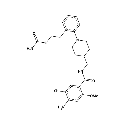 COc1cc(N)c(Cl)cc1C(=O)NCC1CCN(c2ccccc2CCOC(N)=O)CC1